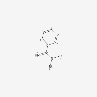 CCN(CC)C(=N)c1ccccc1